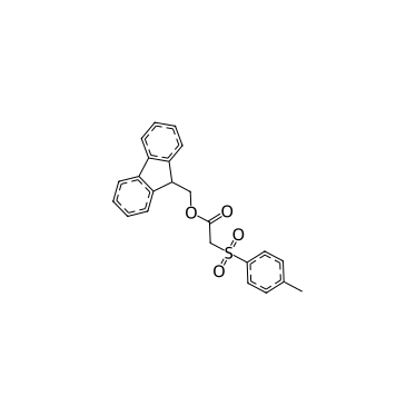 Cc1ccc(S(=O)(=O)CC(=O)OCC2c3ccccc3-c3ccccc32)cc1